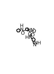 O=C(Nc1ccc2[nH]ncc2c1)OC(c1cccc(C(=O)Nc2ccccc2)c1)[C@@H]1CCCCN1